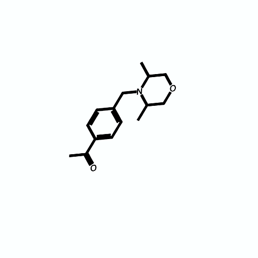 CC(=O)c1ccc(CN2C(C)COCC2C)cc1